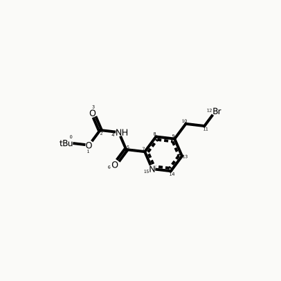 CC(C)(C)OC(=O)NC(=O)c1cc(CCBr)ccn1